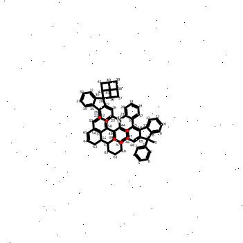 CC1(c2ccccc2)c2ccccc2-c2c(-c3ccccc3N(c3ccc4c(c3)C3(c5ccccc5-4)C4CC5CC6CC3C564)c3ccccc3-c3cccc4c3C(C3CCCCC3)CC=C4)cccc21